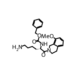 COc1cccc2c1CN(C(=O)[C@H](CCCCN)NC(=O)OCc1ccccc1)CC2